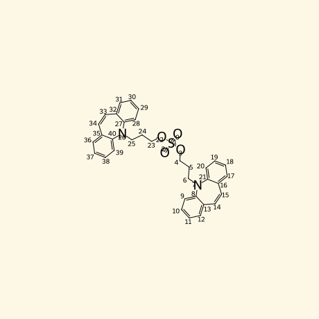 O=S(=O)(OCCCN1c2ccccc2C=Cc2ccccc21)OCCCN1c2ccccc2C=Cc2ccccc21